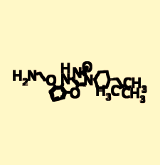 CC(C)(C)C[C@H]1CC[C@H](n2cc3c(nc2=O)Nc2c(OCCN)cccc2O3)CC1